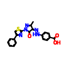 CC1=NN(c2nc(-c3ccccc3)cs2)C(=O)/C1=N\Nc1ccc(C(=O)O)cc1